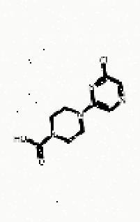 O=C(O)N1CCN(c2cncc(Cl)n2)CC1